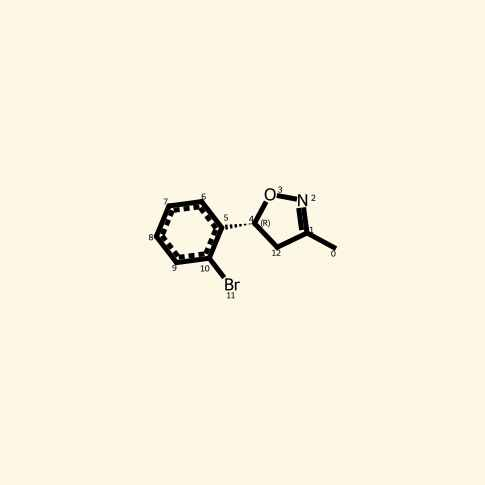 CC1=NO[C@@H](c2ccccc2Br)C1